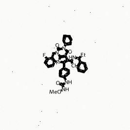 CCC(NC(C)c1c(-c2ccc(NC(=O)NOC)cc2)sc2c1c(=O)n(-c1ccccc1)c(=O)n2Cc1c(F)cccc1F)c1ccccc1